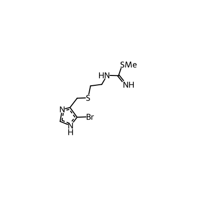 CSC(=N)NCCSCc1nc[nH]c1Br